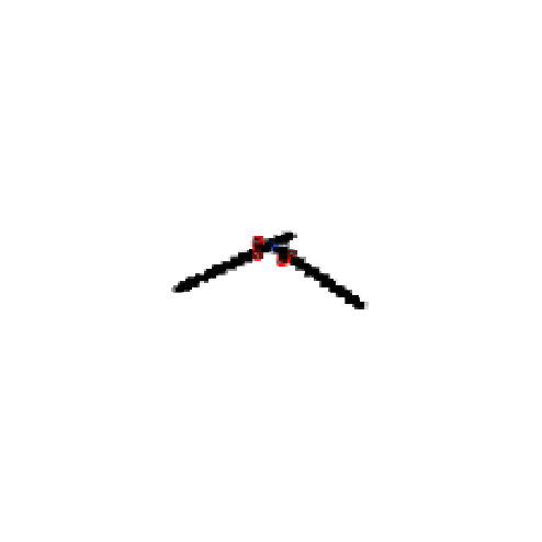 CCCCCCCCCCCCCCCCCCOC(=O)CCN(CCCC)CCC(=O)OCCCCCCCCCCCCCCCCCC